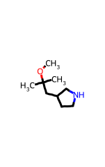 COC(C)(C)C[C]1CCNC1